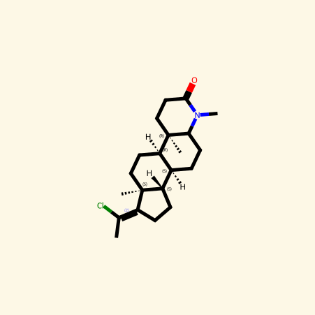 C/C(Cl)=C1\CC[C@H]2[C@@H]3CCC4N(C)C(=O)CC[C@]4(C)[C@@H]3CC[C@]12C